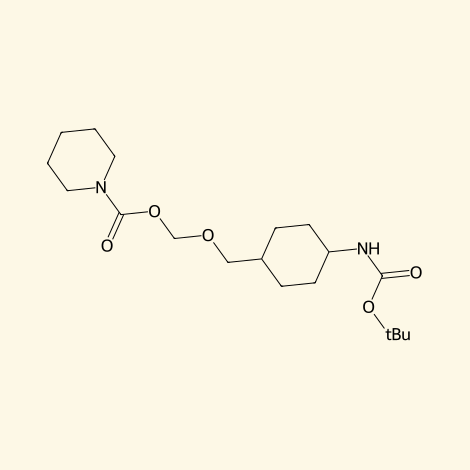 CC(C)(C)OC(=O)NC1CCC(COCOC(=O)N2CCCCC2)CC1